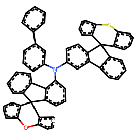 c1ccc(-c2cccc(N(c3ccc4c(c3)-c3ccccc3C43c4ccccc4Sc4ccccc43)c3cccc4c3-c3ccccc3C43c4ccccc4Oc4ccccc43)c2)cc1